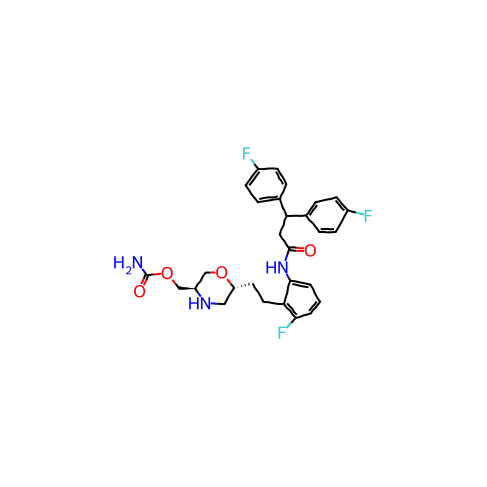 NC(=O)OC[C@H]1CO[C@H](CCc2c(F)cccc2NC(=O)CC(c2ccc(F)cc2)c2ccc(F)cc2)CN1